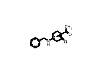 CC(=O)C12CCC(NCc3ccccc3)(CC1)CC2=O